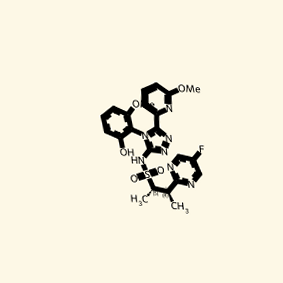 COC1=NC(c2nnc(NS(=O)(=O)[C@@H](C)[C@H](C)c3ncc(F)cn3)n2-c2c(O)cccc2OC)=C=C=C1